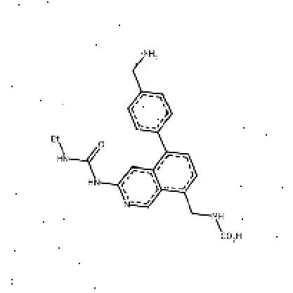 CCNC(=O)Nc1cc2c(-c3ccc(CN)cc3)ccc(CNC(=O)O)c2cn1